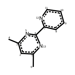 Cc1cc(C)nc(-c2ccccn2)n1